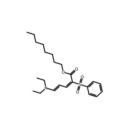 CCCCCCCCOC(=O)/C(=C\C=C\N(CC)CC)S(=O)(=O)c1ccccc1